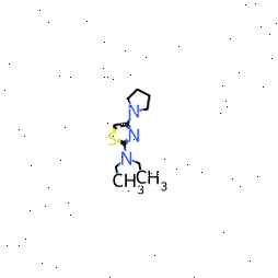 CCN(CC)c1nc(N2CCCC2)cs1